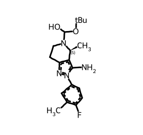 Cc1cc(-n2nc3c(c2N)[C@H](C)N(C(O)OC(C)(C)C)CC3)ccc1F